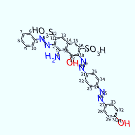 Nc1c(N=Nc2ccccc2)c(S(=O)(=O)O)cc2cc(S(=O)(=O)O)c(N=Nc3ccc(N=Nc4ccc(O)cc4)cc3)c(O)c12